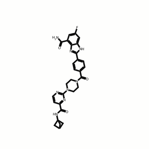 NC(=O)c1cc(F)cc2[nH]c(-c3ccc(C(=O)N4CCN(c5nccc(C(=O)NC67CC(C6)C7)n5)CC4)cc3)nc12